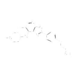 CN1CCC(Nc2c(Cl)cnc3[nH]c(-c4ccc(OCCN)cc4)nc23)CC1